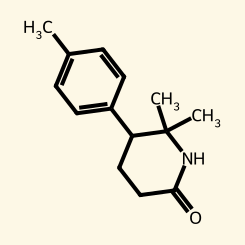 Cc1ccc(C2CCC(=O)NC2(C)C)cc1